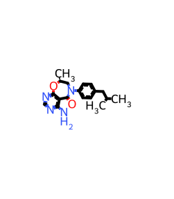 CC(C)Cc1ccc(N2C[C@@H](C)Oc3ncnc(N)c3C2=O)cc1